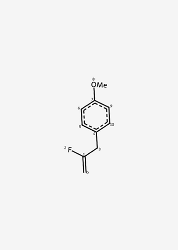 C=C(F)Cc1ccc(OC)cc1